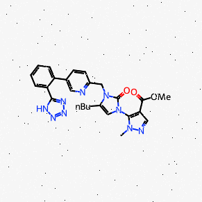 CCCCc1cn(-c2c(C(=O)OC)cnn2C)c(=O)n1Cc1ccc(-c2ccccc2-c2nnn[nH]2)cn1